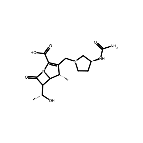 C[C@@H](O)C1C(=O)N2C(C(=O)O)=C(CN3CC[C@H](NC(N)=O)C3)[C@H](C)C12